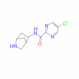 O=C(NC1CC2CC1CN2)c1ncc(Cl)cn1